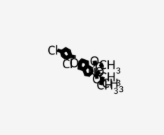 COC(=O)[C@H]1c2ccc(OCc3ccc(Cl)cc3Cl)cc2CCN1C(=O)OC(C)(C)C